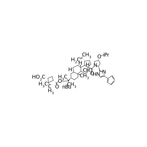 C=C(C)[C@@H]1CC[C@]2(C(=O)N3C[C@H](OC(C)C)C[C@H]3c3nc(-c4ccccc4)c[nH]3)CC[C@]3(C)[C@H](CC[C@@H]4C[C@H](C(C)(C)[C@H](CCCC)OC(=O)[C@H]5C[C@@H](C(=O)O)C5(C)C)CC[C@]43C)[C@@H]12